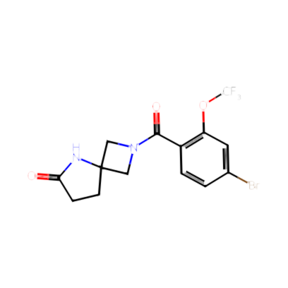 O=C1CCC2(CN(C(=O)c3ccc(Br)cc3OC(F)(F)F)C2)N1